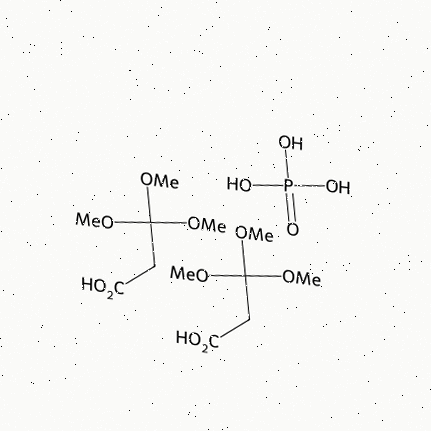 COC(CC(=O)O)(OC)OC.COC(CC(=O)O)(OC)OC.O=P(O)(O)O